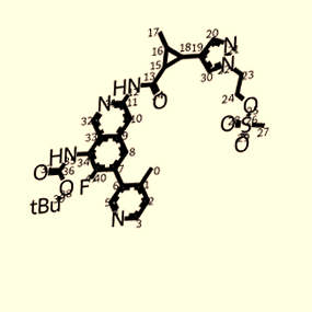 Cc1ccncc1-c1cc2cc(NC(=O)C3C(C)C3c3cnn(CCOS(C)(=O)=O)c3)ncc2c(NC(=O)OC(C)(C)C)c1F